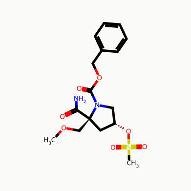 COC[C@]1(C(N)=O)C[C@@H](OS(C)(=O)=O)CN1C(=O)OCc1ccccc1